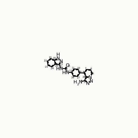 Nc1nnn2cccc(-c3ccc(NC(=O)Nc4n[nH]c5ccccc45)cc3)c12